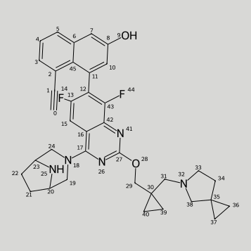 C#Cc1cccc2cc(O)cc(-c3c(F)cc4c(N5CC6CCC(C5)N6)nc(OCC5(CN6CCC7(CC7)C6)CC5)nc4c3F)c12